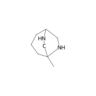 CC12CCCC(CN1)NC2